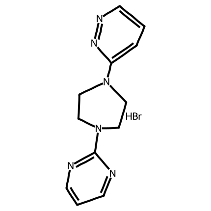 Br.c1cnc(N2CCN(c3cccnn3)CC2)nc1